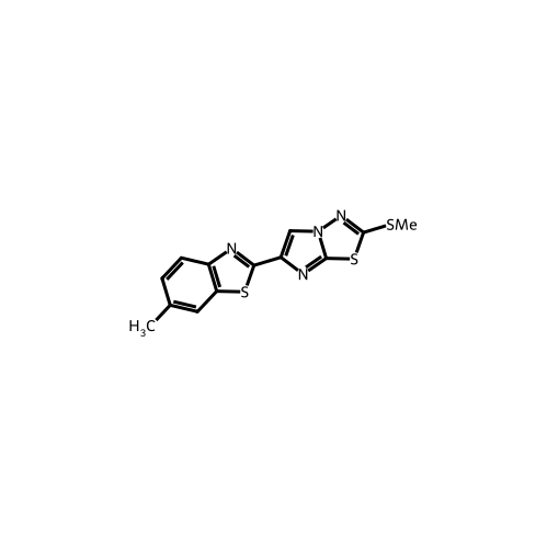 CSc1nn2cc(-c3nc4ccc(C)cc4s3)nc2s1